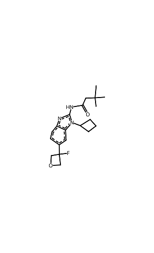 CC(C)(C)CC(=O)Nc1nc2ccc(C3(F)COC3)cc2n1C1CCC1